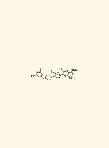 CC[C@H]1CN(c2nc(N)c(C(=O)NC)nc2Cl)CCN1C1CCN(Cc2cc(Cl)nc(Cl)c2)CC1